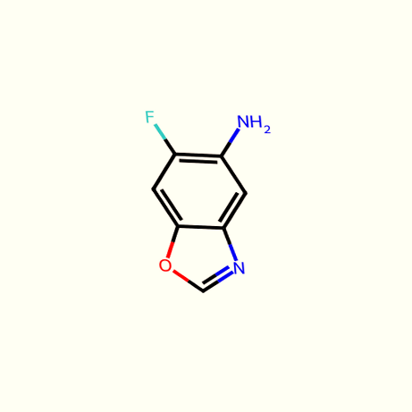 Nc1cc2ncoc2cc1F